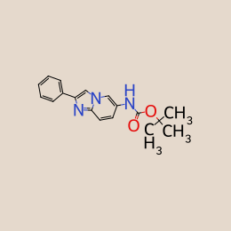 CC(C)(C)OC(=O)Nc1ccc2nc(-c3ccccc3)cn2c1